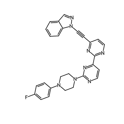 Fc1ccc(N2CCN(c3nccc(-c4nccc(C#Cn5ncc6ccccc65)n4)n3)CC2)cc1